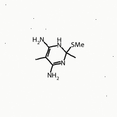 CSC1(C)N=C(N)C(C)=C(N)N1